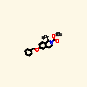 CCCC1c2ccc(OCc3ccccc3)cc2CCN1C(=O)OC(C)(C)C